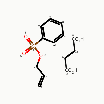 C=CCOS(=O)(=O)c1ccccc1.O=C(O)CCC(=O)O